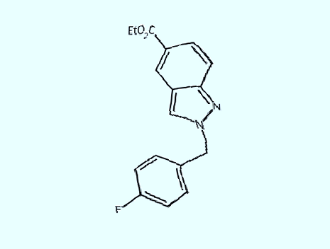 CCOC(=O)c1ccc2nn(Cc3ccc(F)cc3)cc2c1